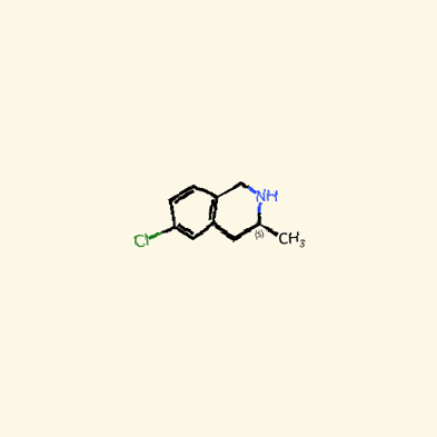 C[C@H]1Cc2cc(Cl)ccc2CN1